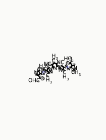 [C-]#[N+]c1c(-n2cc(/N=N/c3c(C(=O)CO)cnn3C)c(C)n2)nc(-n2nc(C)c(/N=N/c3c(C(=O)C=O)cnn3C)c2N)c(C#N)c1C